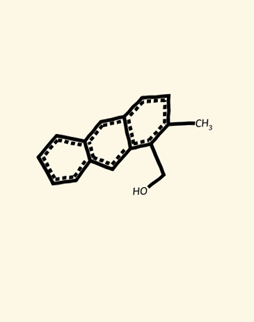 Cc1ccc2cc3ccccc3cc2c1CO